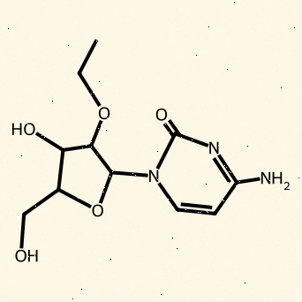 CCOC1C(O)C(CO)OC1n1ccc(N)nc1=O